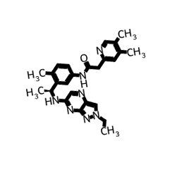 CCn1cc2ncc(N[C@@H](C)c3cc(NC(=O)Cc4cc(C)c(C)cn4)ccc3C)nc2n1